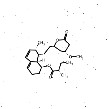 CC[C@H](C)C(=O)O[C@H]1CCC=C2C=C[C@H](C)[C@H](CC[C@@H]3C[C@@H](OC)CC(=O)O3)[C@H]21